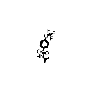 CC(C)NS(=O)(=O)c1ccc(OC(F)(F)F)cc1